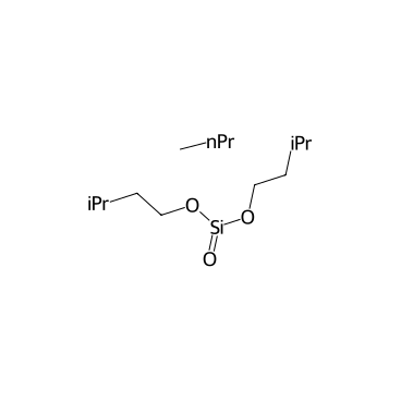 CC(C)CCO[Si](=O)OCCC(C)C.CCCC